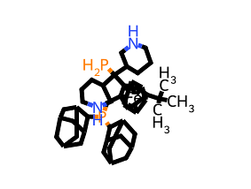 CC(C)(C)[C]12[CH]3[C]4(CP(C5C6CC7CC(C6)CC5C7)C5C6CC7CC(C6)CC5C7)[C]5(C(P)(C6CCCNC6)C6CCCNC6)[CH]1[Fe]34251678[CH]2[CH]1[CH]6[CH]7[CH]28